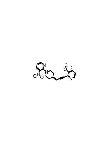 COc1cccnc1C#CC=C1CCN(c2ncccc2[N+](=O)[O-])CC1